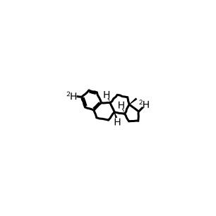 [2H]c1ccc2c(c1)CC[C@@H]1[C@@H]2CC[C@]2(C)C([2H])CC[C@@H]12